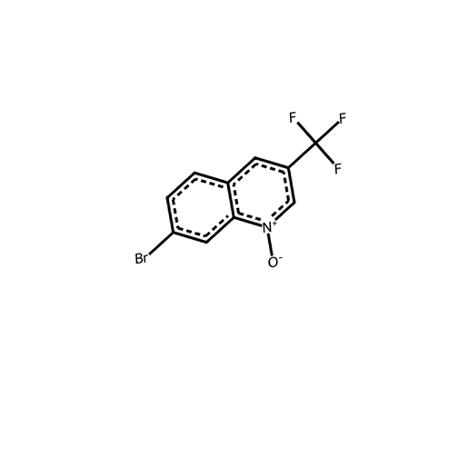 [O-][n+]1cc(C(F)(F)F)cc2ccc(Br)cc21